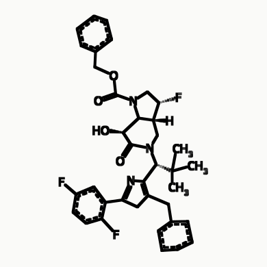 CC(C)(C)[C@H](C1=C(Cc2ccccc2)CC(c2cc(F)ccc2F)=N1)N1C[C@@H]2C([C@H](O)C1=O)N(C(=O)OCc1ccccc1)C[C@@H]2F